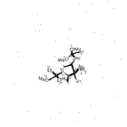 CCC(OC)(OC)PC(C)C(N)(CC)C(C)PC(CC)(OC)OC